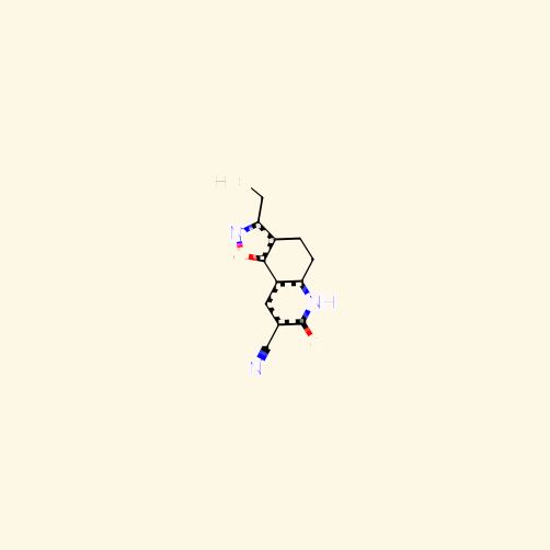 CCc1noc2c1CCc1[nH]c(=O)c(C#N)cc1-2